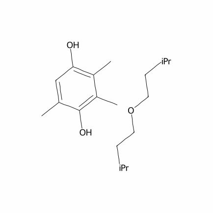 CC(C)CCOCCC(C)C.Cc1cc(O)c(C)c(C)c1O